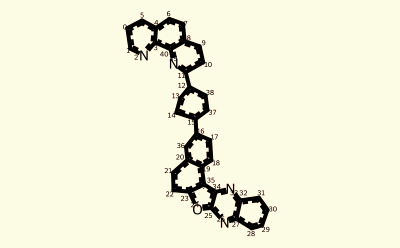 c1cnc2c(c1)ccc1ccc(-c3ccc(-c4ccc5c(ccc6oc7nc8ccccc8nc7c65)c4)cc3)nc12